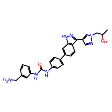 CC(O)Cn1cc(-c2n[nH]c3cc(-c4ccc(NC(=O)Nc5cccc(CN)c5)cc4)ccc23)cn1